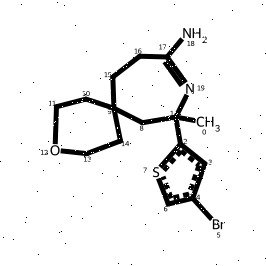 CC1(c2cc(Br)cs2)CC2(CCOCC2)CCC(N)=N1